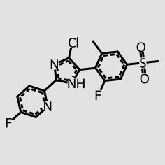 Cc1cc(S(C)(=O)=O)cc(F)c1-c1[nH]c(-c2ccc(F)cn2)nc1Cl